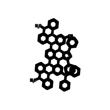 Cc1cc2c3c(c1)N1c4c(ccc5c4N(c4cc(N(c6ccccc6)c6ccccc6)cc6c4B5c4cccc5c4N6c4ccccc4N5C)c4c(-c5ccccc5)sc(-c5ccccc5)c41)B3c1cccc3c1N2c1ccccc1N3C